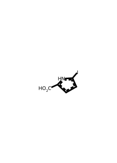 O=C(O)c1ccc(I)[nH]1